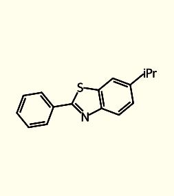 CC(C)c1ccc2nc(-c3ccccc3)sc2c1